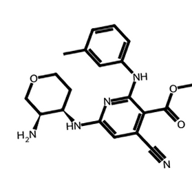 COC(=O)c1c(C#N)cc(N[C@@H]2CCOC[C@@H]2N)nc1Nc1cccc(C)c1